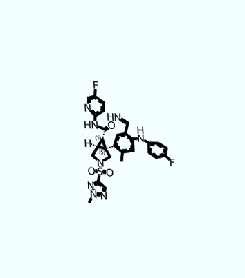 Cc1cc(Nc2ccc(F)cc2)c(C=N)cc1[C@]12CN(S(=O)(=O)c3cnn(C)n3)C[C@H]1[C@@H]2C(=O)Nc1ccc(F)cn1